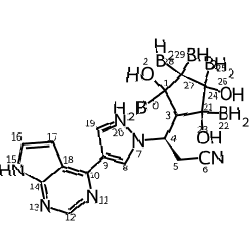 BC1(O)C([C@@H](CC#N)n2cc(-c3ncnc4[nH]ccc34)cn2)C(B)(O)C(B)(O)C1(B)B